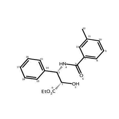 CCOC(=O)[C@@H](O)[C@@H](NC(=O)c1cccc(C)c1)c1ccccc1